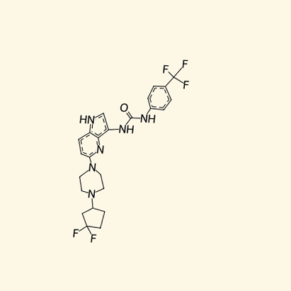 O=C(Nc1ccc(C(F)(F)F)cc1)Nc1c[nH]c2ccc(N3CCN(C4CCC(F)(F)C4)CC3)nc12